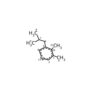 Cc1cncc(CC(C)C)c1C